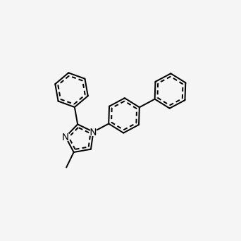 Cc1cn(-c2ccc(-c3ccccc3)cc2)c(-c2ccccc2)n1